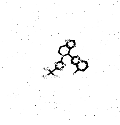 CC(C)(C)c1nnc(N2CCc3[nH]cnc3C2c2cc3c(F)cccn3n2)o1